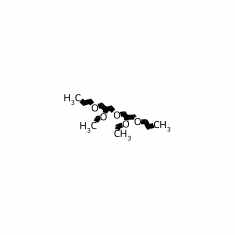 CCCOCC(COCC(COCCC)OCC)OCC